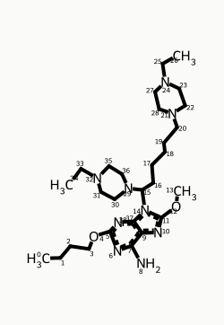 CCCCOc1nc(N)c2nc(OC)n(C(CCCCCN3CCN(CC)CC3)N3CCN(CC)CC3)c2n1